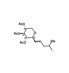 CC(=O)O[C@@H]1[C@@H](OC(C)=O)[C@H](OC(C)=O)CO[C@H]1C=CCC(C)O